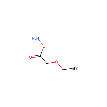 CCCCOCC(=O)ON